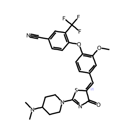 COc1cc(/C=C2\SC(N3CCC(N(C)C)CC3)=NC2=O)ccc1Oc1ccc(C#N)cc1C(F)(F)F